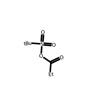 CCC(=O)OS(=O)(=O)C(C)(C)C